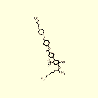 CCCCCC[C@@H](C)Oc1cc([N+](=O)[O-])c(-c2ccc(C(=O)Oc3ccc(CC[C@H]4CC[C@H](CCCCC)CC4)cc3)cc2)cc1N